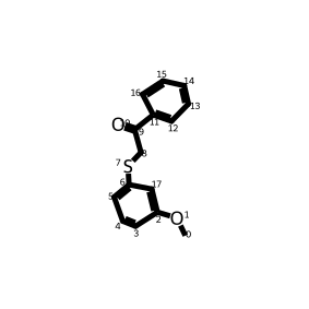 COc1cccc(SCC(=O)c2ccccc2)c1